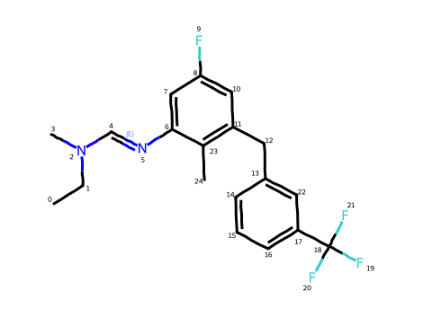 CCN(C)/C=N/c1cc(F)cc(Cc2cccc(C(F)(F)F)c2)c1C